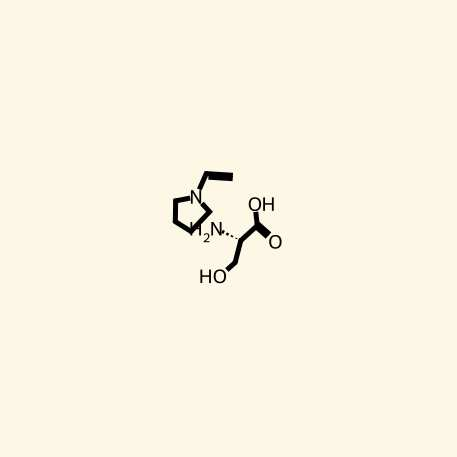 C=CN1CCCC1.N[C@@H](CO)C(=O)O